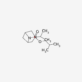 CC(C)COC(=O)N1C2CC1CN(C(C)C)C2